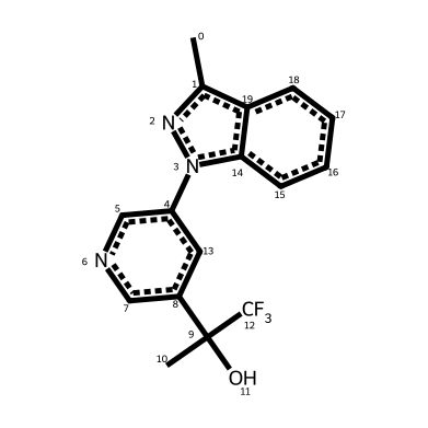 Cc1nn(-c2cncc(C(C)(O)C(F)(F)F)c2)c2ccccc12